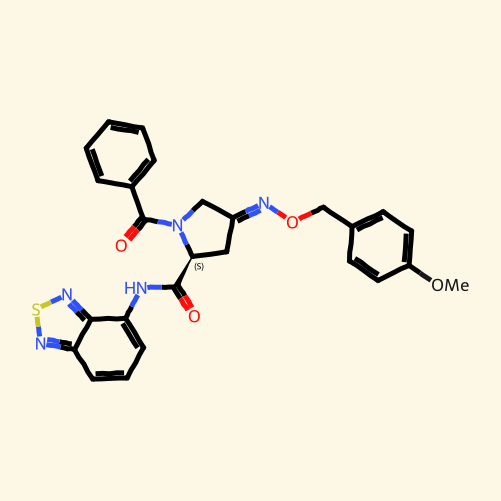 COc1ccc(CON=C2C[C@@H](C(=O)Nc3cccc4nsnc34)N(C(=O)c3ccccc3)C2)cc1